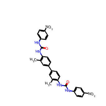 Cc1cc(-c2ccc(NC(=O)Nc3ccc([N+](=O)[O-])cc3)c(C)c2)ccc1NC(=O)Nc1ccc([N+](=O)[O-])cc1